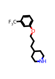 FC(F)(F)c1cccc(OCCCC2CCNCC2)c1